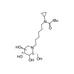 CC(C)(C)C(=O)N(CCCCCCN1C[C@H](O)[C@@H](O)C(O)[C@H]1CO)C1CC1